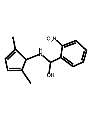 CC1=CC=C(C)C1NC(O)c1ccccc1[N+](=O)[O-]